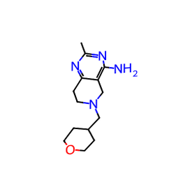 Cc1nc(N)c2c(n1)CCN(CC1CCOCC1)C2